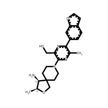 Cc1nc(N2CCC3(CC2)CO[C@@H](C)[C@H]3N)c(CO)nc1-c1ccc2ccoc2c1